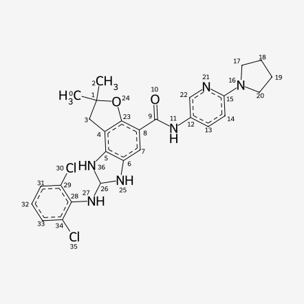 CC1(C)Cc2c3c(cc(C(=O)Nc4ccc(N5CCCC5)nc4)c2O1)NC(Nc1c(Cl)cccc1Cl)N3